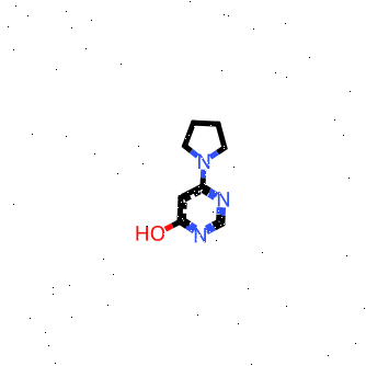 Oc1cc(N2CCCC2)ncn1